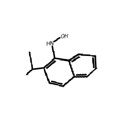 CC(C)c1ccc2ccccc2c1NO